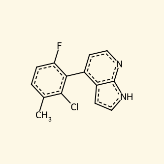 Cc1ccc(F)c(-c2ccnc3[nH]ccc23)c1Cl